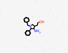 NC1C(CCO)CN(Cc2ccccc2)C1c1ccccc1